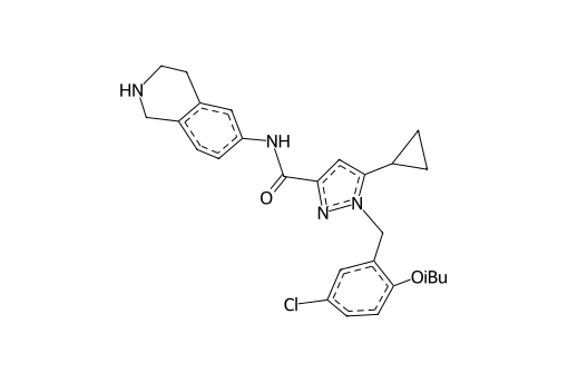 CC(C)COc1ccc(Cl)cc1Cn1nc(C(=O)Nc2ccc3c(c2)CCNC3)cc1C1CC1